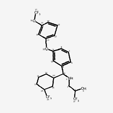 OC(CNC(c1cccc(Oc2cccc(OC(F)(F)F)c2)c1)C1CCCC(C(F)(F)F)C1)C(F)(F)F